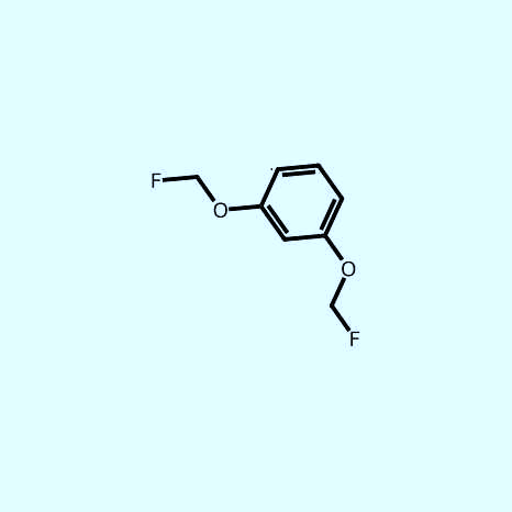 FCOc1[c]ccc(OCF)c1